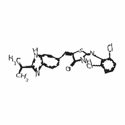 CC(C)c1nc2ccc(C=C3SC(=Nc4c(Cl)cccc4Cl)NC3=O)cc2[nH]1